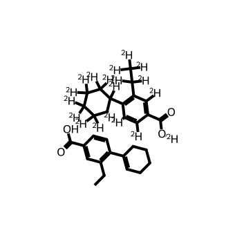 CCc1cc(C(=O)O)ccc1C1=CCCCC1.[2H]OC(=O)c1c([2H])c([2H])c(C2([2H])C([2H])C([2H])([2H])C([2H])([2H])C([2H])([2H])C2([2H])[2H])c(C([2H])([2H])C([2H])([2H])[2H])c1[2H]